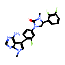 CN1C(=O)N(c2ccc(-c3cn(C)c4ncnc(N)c34)c(F)c2)CC1c1cccc(F)c1F